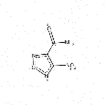 NC(=O)c1nonc1[N+](=O)[O-]